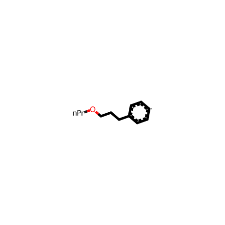 CCCOCCCc1cc[c]cc1